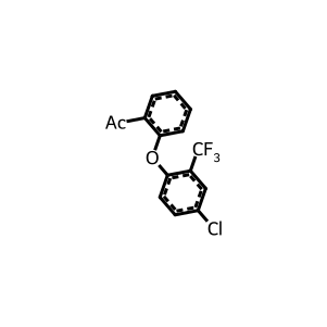 CC(=O)c1ccccc1Oc1ccc(Cl)cc1C(F)(F)F